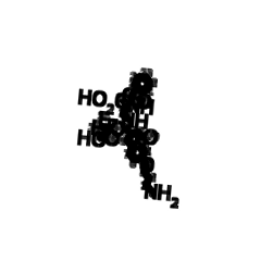 NCCCOc1ccc2cc(C(=O)NC[C@H](NS(=O)(=O)c3ccccc3)C(=O)O)cc(=O)n2c1.O=C(O)C(F)(F)F